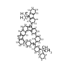 CC1(C)c2ccccc2-c2ccc(N(c3ccccc3)c3cccc(-c4ccc5c(c4)c4c6cc7c(cc6ccc4n5-c4ccc5c(c4)C(C)(C)c4ccccc4-5)sc4ccccc47)c3)cc21